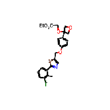 CCOC(=O)COC1(c2ccc(OCc3cnc(-c4cccc(F)c4C)s3)cc2)COC1